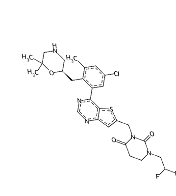 Cc1cc(Cl)cc(-c2ncnc3cc(CN4C(=O)CCN(CC(F)F)C4=O)sc23)c1C[C@@H]1CNCC(C)(C)O1